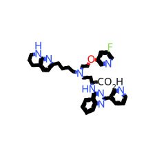 O=C(O)C(CCN(CCCCc1ccc2c(n1)NCCC2)CCOc1cncc(F)c1)Nc1nc(-c2cccnc2)nc2ccccc12